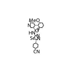 COc1cccc(F)c1-c1cc(C)ncc1C(=O)Nc1nnc(-c2ccc(C#N)cc2)[se]1